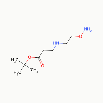 CC(C)(C)OC(=O)CCNCCON